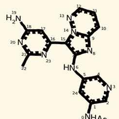 CC(=O)Nc1cncc(Nc2nc3cccnn3c2-c2cc(N)nc(C)n2)c1